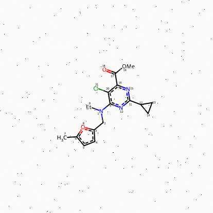 CCN(Cc1ccc(C)o1)c1nc(C2CC2)nc(C(=O)OC)c1Cl